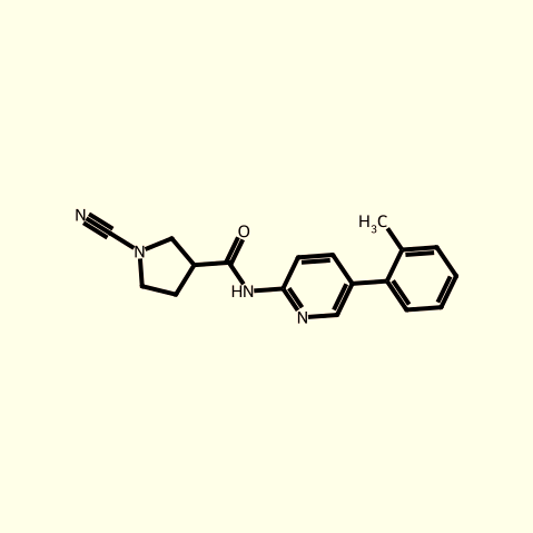 Cc1ccccc1-c1ccc(NC(=O)C2CCN(C#N)C2)nc1